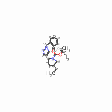 CC[C@H]1CC[C@H](c2cnn(Cc3ccccc3)c2)N(C(=O)OC(C)(C)C)C1